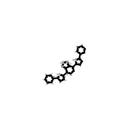 c1ccc(-c2ccc(-c3ccc(-c4ccc(-c5ccccc5)s4)c4nsnc34)s2)cc1